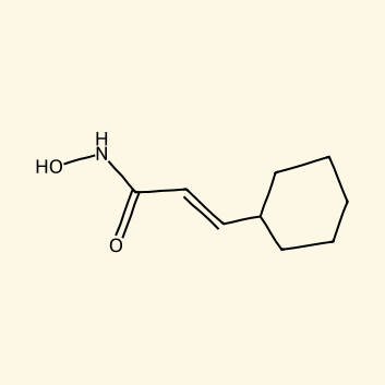 O=C(C=CC1CCCCC1)NO